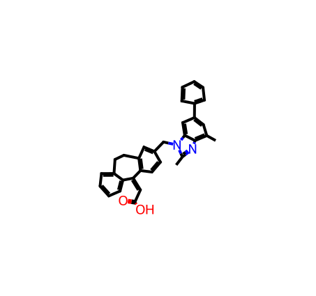 Cc1cc(-c2ccccc2)cc2c1nc(C)n2Cc1ccc2c(c1)CCc1ccccc1C2=CC(=O)O